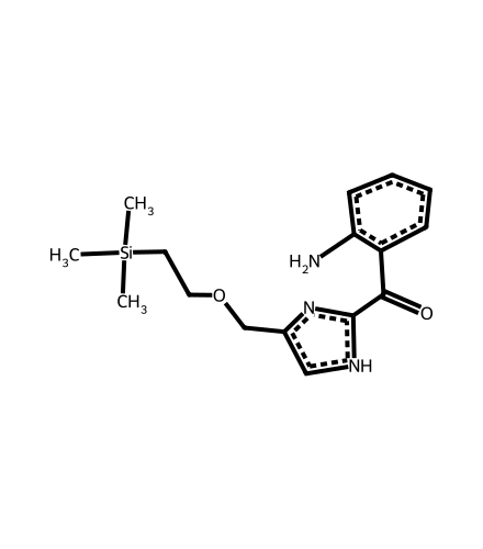 C[Si](C)(C)CCOCc1c[nH]c(C(=O)c2ccccc2N)n1